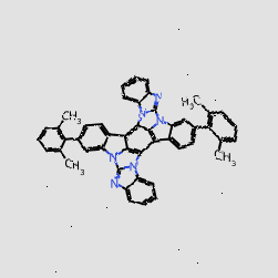 Cc1cccc(C)c1-c1ccc2c3c4c5c(c6ccc(-c7c(C)cccc7C)cc6n5c5nc6ccccc6n45)c4c3n(c2c1)c1nc2ccccc2n41